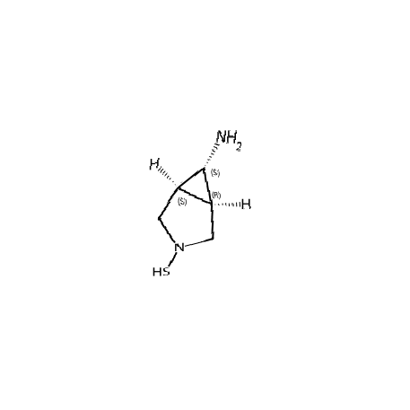 N[C@@H]1[C@H]2CN(S)C[C@@H]12